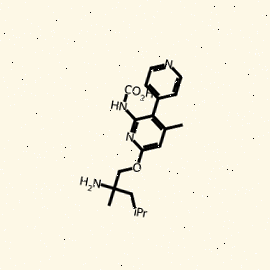 Cc1cc(OCC(C)(N)CC(C)C)nc(NC(=O)O)c1-c1ccncc1